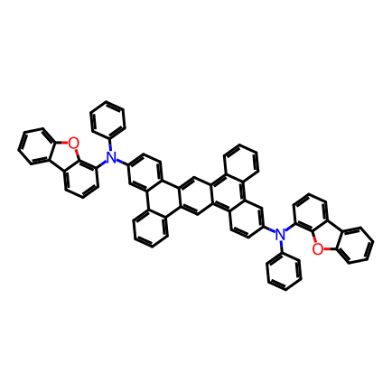 c1ccc(N(c2ccc3c(c2)c2ccccc2c2cc4c5ccc(N(c6ccccc6)c6cccc7c6oc6ccccc67)cc5c5ccccc5c4cc32)c2cccc3c2oc2ccccc23)cc1